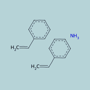 C=Cc1ccccc1.C=Cc1ccccc1.N